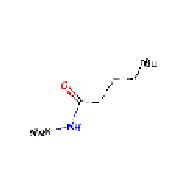 CCCCCCCC(=O)NNC